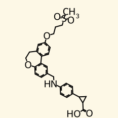 CS(=O)(=O)CCCOc1ccc2c(c1)CCOc1ccc(CNc3ccc(C4CC4C(=O)O)cc3)cc1-2